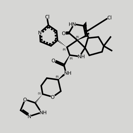 CC1(C)CCC2(CC1)N[C@@H](C(=O)N[C@@H]1CC[C@@H](C3NN=CO3)OC1)[C@H](c1ccnc(Cl)c1)[C@]21C(=O)Nc2cc(Cl)ccc21